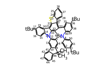 CC(C)(C)c1ccc(N2B3c4cc5c(cc4-n4c6ccc(C(C)(C)C)cc6c6c7sc8ccccc8c7c(c3c64)-c3cc(C(C)(C)C)ccc32)-c2ccccc2C5(C)C)cc1